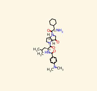 CC(C)C[C@H](NC(=O)c1ccc(N(C)C)cc1)C(=O)N1CC[C@@H]2[C@H]1C(=O)CN2C(=O)[C@@H](N)C1CCCCC1